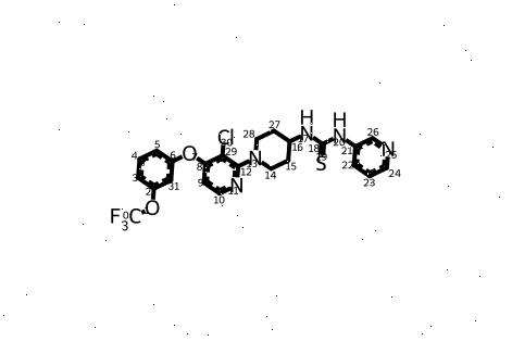 FC(F)(F)Oc1cccc(Oc2ccnc(N3CCC(NC(=S)Nc4cccnc4)CC3)c2Cl)c1